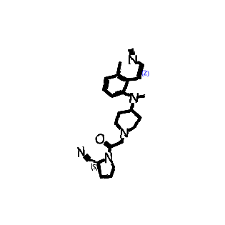 C=N/C=C\c1c(C)cccc1N(C)C1CCN(CC(=O)N2CCC[C@H]2C#N)CC1